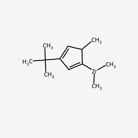 CC1C=C(C(C)(C)C)C=[C]1[Zr]([CH3])[CH3]